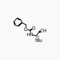 C#C[C@@H](NC(=O)OCc1ccccc1)C(C)(C)C